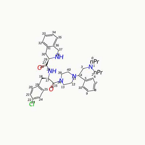 CCCN(CCC)CC(c1ccccc1)N1CCN(C(=O)[C@@H](Cc2ccc(Cl)cc2)NC(=O)[C@H]2Cc3ccccc3CN2)CC1